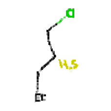 CCCCCCl.S